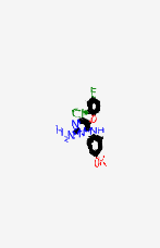 Nc1ncc(Oc2ccc(F)cc2Cl)c(N[C@H]2CC[C@H](O)CC2)n1